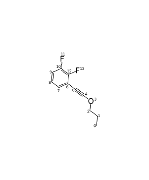 CCCOC#Cc1cccc(F)c1F